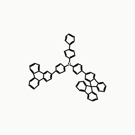 c1ccc(-c2ccc(N(c3ccc(-c4ccc5c(c4)C4(c6ccccc6-c6ccccc64)c4ccccc4-5)cc3)c3ccc(-c4ccc5c6ccccc6c6ccccc6c5c4)cc3)cc2)cc1